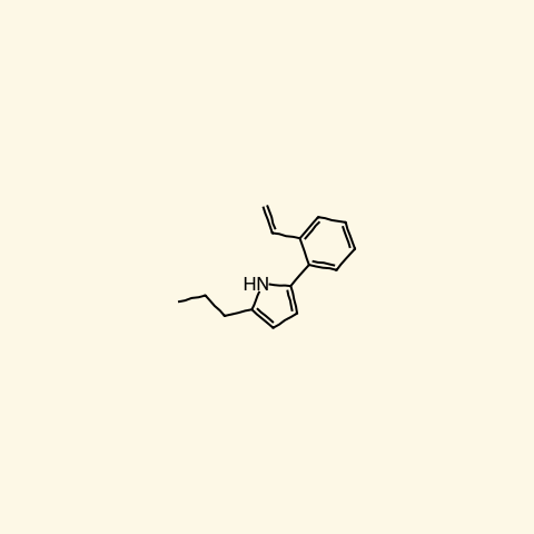 C=Cc1ccccc1-c1ccc(CCC)[nH]1